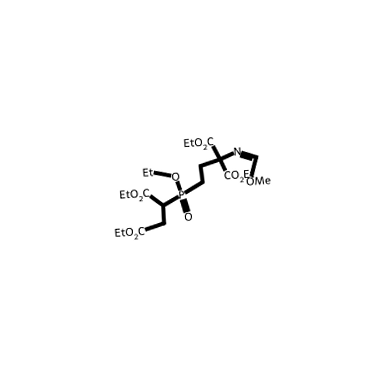 CCOC(=O)CC(C(=O)OCC)P(=O)(CCC(/N=C\OC)(C(=O)OCC)C(=O)OCC)OCC